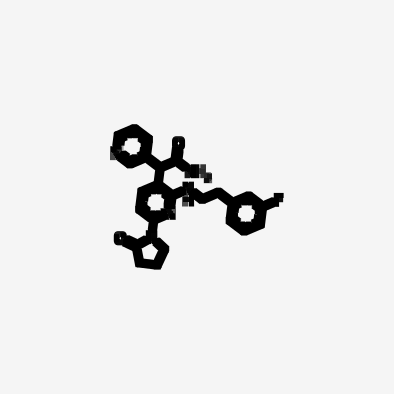 NC(=O)C(c1cccnc1)c1ccc(N2CCCC2=O)nc1NCCc1cccc(F)c1